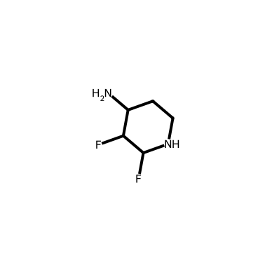 NC1CCNC(F)C1F